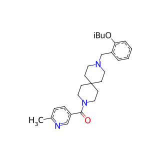 Cc1ccc(C(=O)N2CCC3(CCN(Cc4ccccc4OCC(C)C)CC3)CC2)cn1